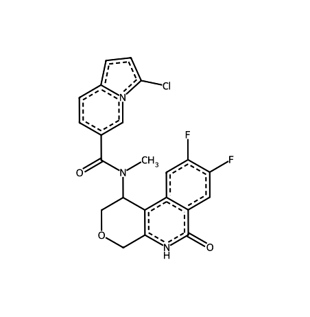 CN(C(=O)c1ccc2ccc(Cl)n2c1)C1COCc2[nH]c(=O)c3cc(F)c(F)cc3c21